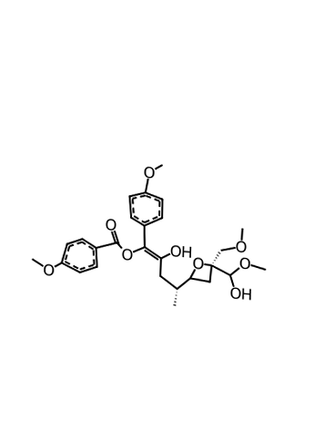 COC[C@]1(C(O)OC)CC([C@H](C)C/C(O)=C(\OC(=O)c2ccc(OC)cc2)c2ccc(OC)cc2)O1